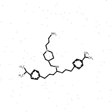 CC(C)c1ccc(CCCC(CCCc2ccc(C(C)C)cc2)NCC2CCN(CCCN)CC2)cc1